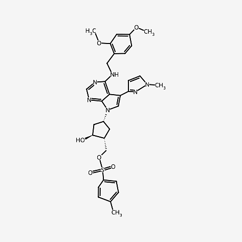 COc1ccc(CNc2ncnc3c2c(-c2ccn(C)n2)cn3[C@@H]2C[C@H](COS(=O)(=O)c3ccc(C)cc3)[C@@H](O)C2)c(OC)c1